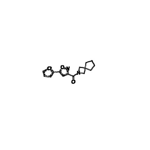 O=C(c1cc(-c2ccco2)on1)N1CC2(CCCC2)C1